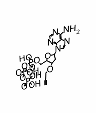 C#CCOC1CC(n2cnc3c(N)ncnc32)OC1COP(=O)(O)OP(=O)(O)OP(=O)(O)O